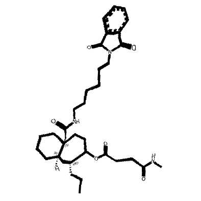 CCC[C@H]1C(OC(=O)CCC(=O)NC)CC[C@@]2(C(=O)NCCCCCCN3C(=O)c4ccccc4C3=O)CCCC[C@H]12